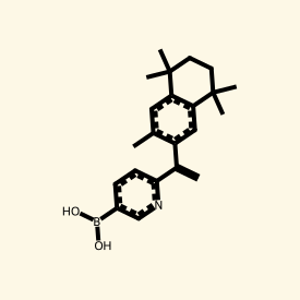 C=C(c1ccc(B(O)O)cn1)c1cc2c(cc1C)C(C)(C)CCC2(C)C